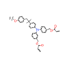 C=CC(=O)OCc1ccc(N(c2ccc(C(C)(C)Cc3ccc(OC(F)(F)F)cc3)cc2)c2cccc(COC(=O)C=C)c2)cc1